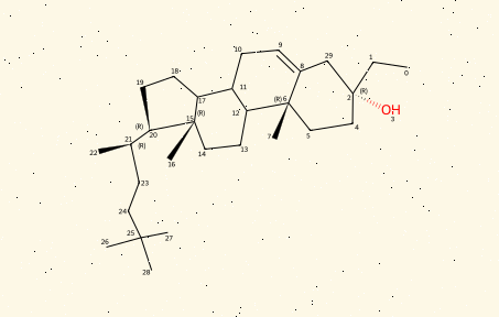 CC[C@@]1(O)CC[C@@]2(C)C(=CCC3C2CC[C@@]2(C)C3CC[C@@H]2[C@H](C)CCC(C)(C)C)C1